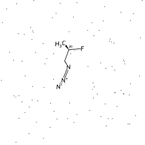 C[C@@H](F)CN=[N+]=[N-]